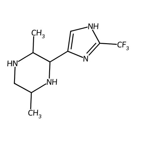 CC1CNC(C)C(c2c[nH]c(C(F)(F)F)n2)N1